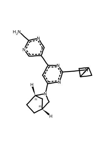 Nc1ncc(-c2cc(N3C[C@@H]4CC[C@H]3C4)nc(N3CC4CC3C4)n2)cn1